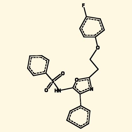 O=S(=O)(Nc1oc(CCOc2ccc(F)cc2)nc1-c1ccccc1)c1ccccc1